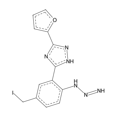 N=NNc1ccc(CI)cc1-c1nc(-c2ccco2)n[nH]1